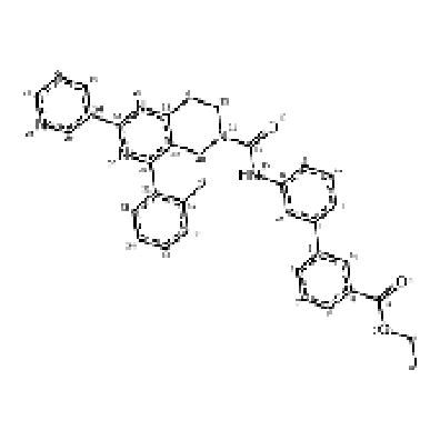 CCOC(=O)c1cccc(-c2cccc(NC(=O)N3CCc4nc(-c5cccnc5)nc(-c5ccccc5C)c4C3)c2)c1